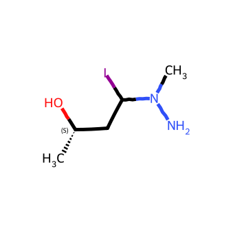 C[C@H](O)CC(I)N(C)N